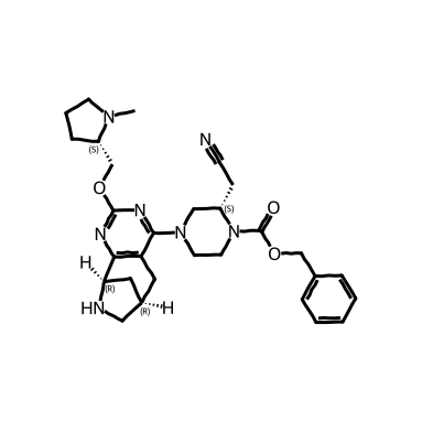 CN1CCC[C@H]1COc1nc2c(c(N3CCN(C(=O)OCc4ccccc4)[C@@H](CC#N)C3)n1)C[C@H]1CN[C@@H]2C1